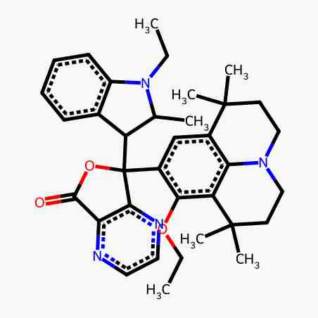 CCOc1c(C2(C3c4ccccc4N(CC)C3C)OC(=O)c3nccnc32)cc2c3c1C(C)(C)CCN3CCC2(C)C